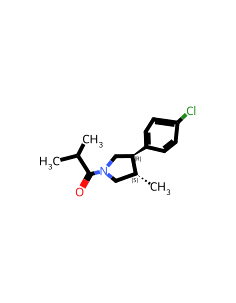 CC(C)C(=O)N1C[C@@H](C)[C@H](c2ccc(Cl)cc2)C1